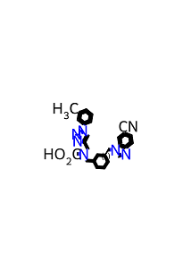 Cc1cccc(-n2cc(CN(CC3CCC[C@H](Cn4cnc5ccc(C#N)cc54)C3)C(=O)O)nn2)c1